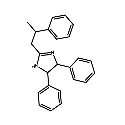 CC(CC1=NC(c2ccccc2)C(c2ccccc2)N1)c1ccccc1